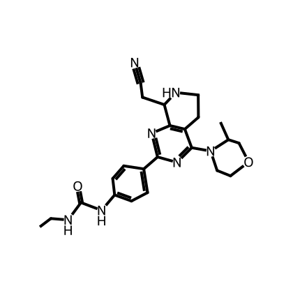 CCNC(=O)Nc1ccc(-c2nc3c(c(N4CCOCC4C)n2)CCNC3CC#N)cc1